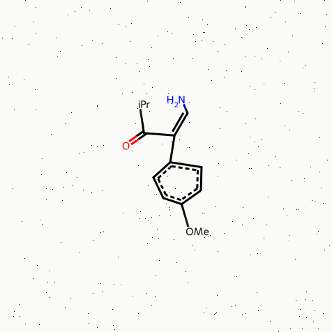 COc1ccc(C(=CN)C(=O)C(C)C)cc1